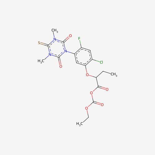 CCOC(=O)OC(=O)C(CC)Oc1cc(-n2c(=O)n(C)c(=S)n(C)c2=O)c(F)cc1Cl